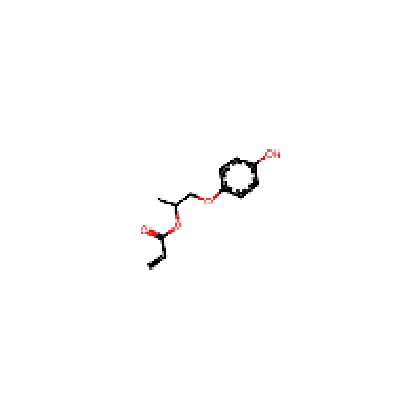 C=CC(=O)OC(C)COc1ccc(O)cc1